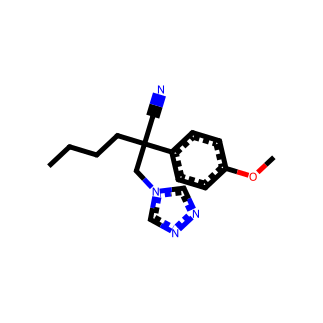 CCCCC(C#N)(Cn1cnnc1)c1ccc(OC)cc1